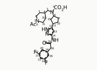 CC(=O)N1CCC(CN(C(=O)O)C2CCC(c3cc(NC(=O)Cc4cc(F)cc(F)c4)n[nH]3)C2)CC1